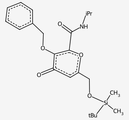 CC(C)NC(=O)c1oc(CO[Si](C)(C)C(C)(C)C)cc(=O)c1OCc1ccccc1